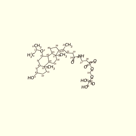 CC(C)OC1CC2CC(O)CCC2(C)C2CCC3(C)C(C(C)CCC(=O)NCCS(=O)(=O)OCOP(=O)(O)O)CCC3C12